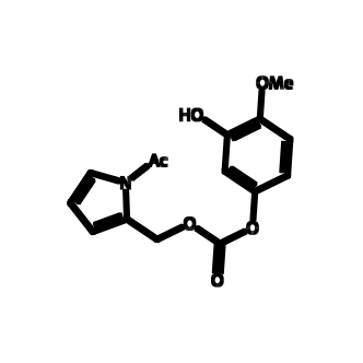 COc1ccc(OC(=O)OCc2cccn2C(C)=O)cc1O